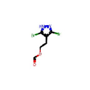 O=COCCc1c(Br)n[nH]c1Br